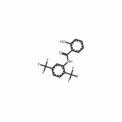 O=C(Nc1cc(C(F)(F)F)ccc1C(F)(F)F)c1ccccc1O